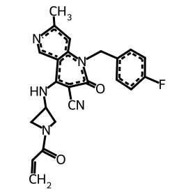 C=CC(=O)N1CC(Nc2c(C#N)c(=O)n(Cc3ccc(F)cc3)c3cc(C)ncc23)C1